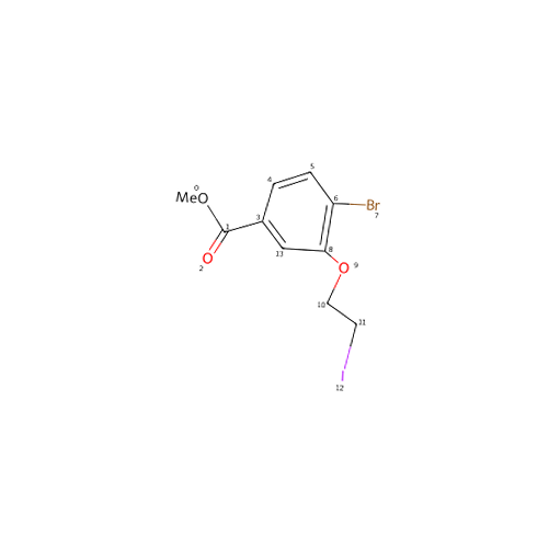 COC(=O)c1ccc(Br)c(OCCI)c1